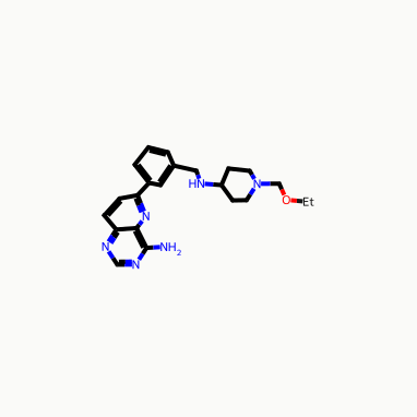 CCOCN1CCC(NCc2cccc(-c3ccc4ncnc(N)c4n3)c2)CC1